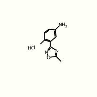 Cc1nc(-c2cc(N)ccc2C)no1.Cl